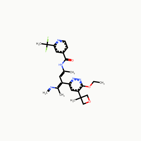 C=N/C(C)=C(\C=C(/C)NC(=O)c1ccnc(C(C)(F)F)c1)c1cc(C2(C)COC2)c(OCC)nn1